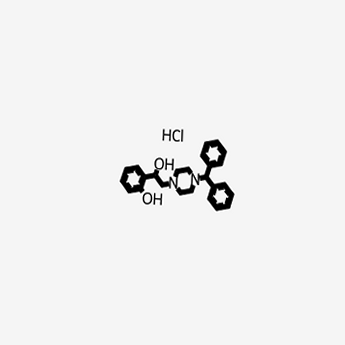 Cl.Oc1ccccc1C(O)CN1CCN(C(c2ccccc2)c2ccccc2)CC1